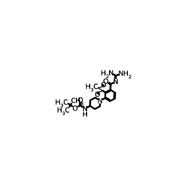 CC(C)(C)OC(=O)NC1CCN(c2cccc(C(=O)N=C(N)N)c2S(C)(=O)=O)CC1